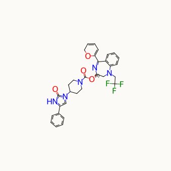 O=C(O[C@@H]1CN(CC(F)(F)F)c2ccccc2C(C2=CC=CCO2)=N1)N1CCC(n2cc(-c3ccccc3)[nH]c2=O)CC1